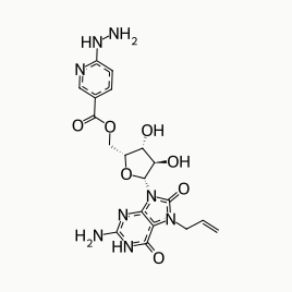 C=CCn1c(=O)n([C@@H]2O[C@H](COC(=O)c3ccc(NN)nc3)[C@H](O)[C@H]2O)c2nc(N)[nH]c(=O)c21